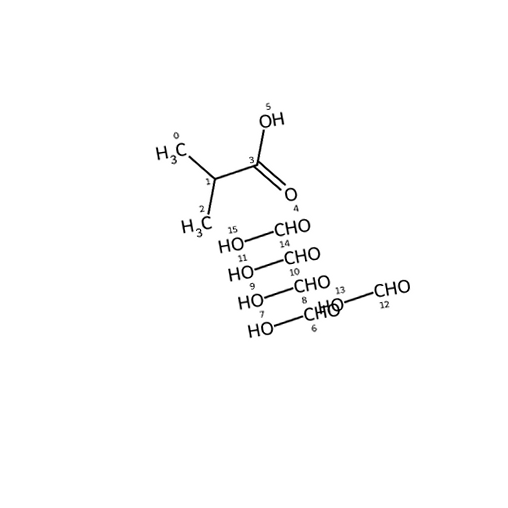 CC(C)C(=O)O.O=CO.O=CO.O=CO.O=CO.O=CO